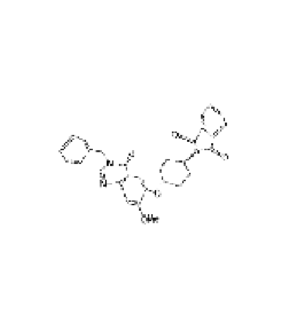 COc1cc2ncn(Cc3ccccc3)c(=O)c2cc1O[C@H]1CC[C@H](N2C(=O)c3ccccc3C2=O)CC1